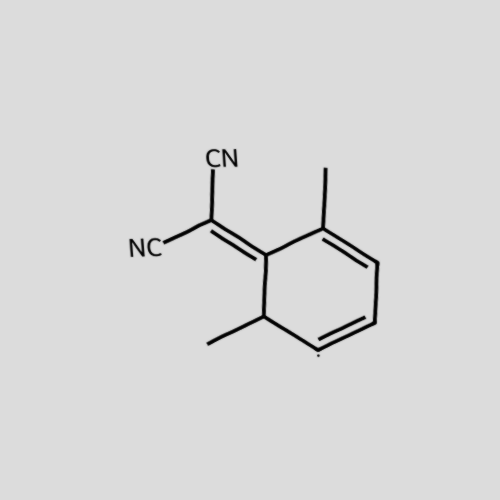 CC1=CC=[C]C(C)C1=C(C#N)C#N